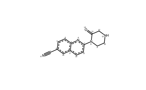 N#Cc1ccc2nc(N3CCNCC3=O)ccc2c1